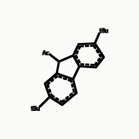 CC(=O)C1c2cc(C(C)(C)C)ccc2-c2ccc(C(C)(C)C)cc21